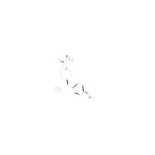 CCN(CC)C(=O)N1CCC(=C(C#N)c2ccc(OC(F)(F)F)cc2)CC1